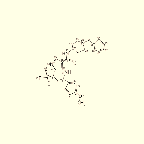 COc1ccc(C2CC(C(F)(F)F)n3ncc(C(=O)NC4CCN(Cc5ccccc5)CC4)c3N2)cc1